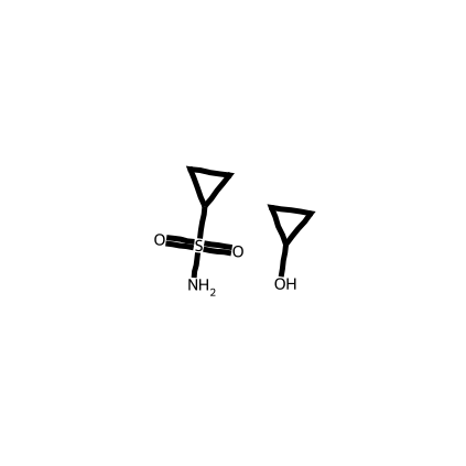 NS(=O)(=O)C1CC1.OC1CC1